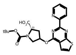 CC(C)(C)OC(=O)N1CC(Oc2nc(-c3ccccn3)nc3sccc23)C[C@H]1C(=O)O